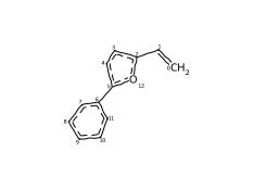 C=Cc1ccc(-c2ccccc2)o1